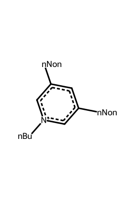 CCCCCCCCCc1cc(CCCCCCCCC)c[n+](CCCC)c1